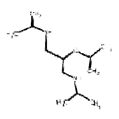 CC(C)NCC(CNC(C)C)OC(C)C